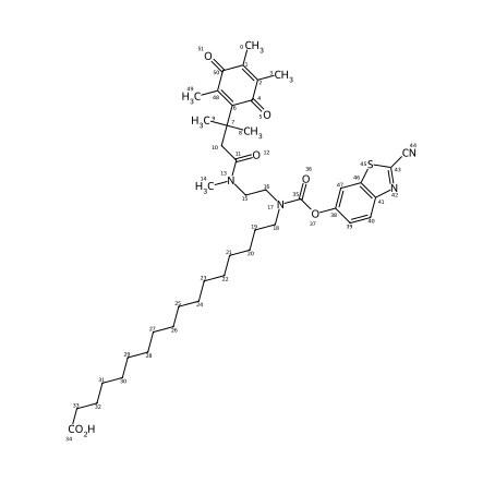 CC1=C(C)C(=O)C(C(C)(C)CC(=O)N(C)CCN(CCCCCCCCCCCCCCCCC(=O)O)C(=O)Oc2ccc3nc(C#N)sc3c2)=C(C)C1=O